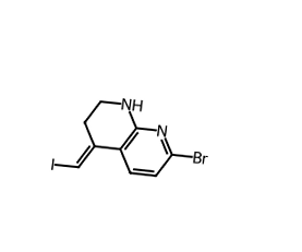 Brc1ccc2c(n1)NCCC2=CI